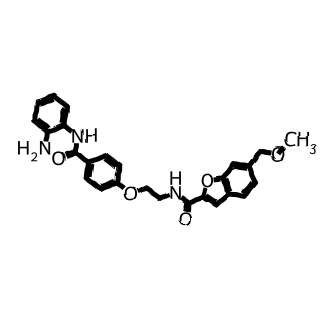 COCc1ccc2cc(C(=O)NCCOc3ccc(C(=O)Nc4ccccc4N)cc3)oc2c1